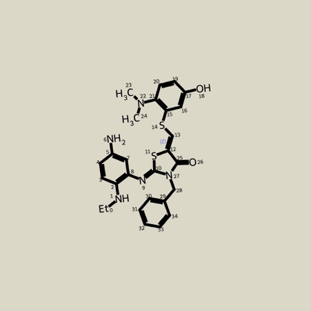 CCNc1ccc(N)cc1N=C1S/C(=C\Sc2cc(O)ccc2N(C)C)C(=O)N1Cc1ccccc1